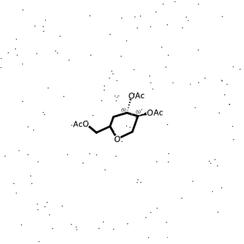 CC(=O)OCC1C[C@H](OC(C)=O)[C@@H](OC(C)=O)CO1